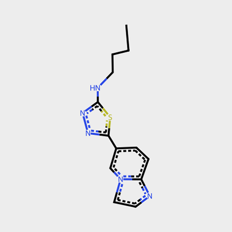 CCCCNc1nnc(-c2ccc3nccn3c2)s1